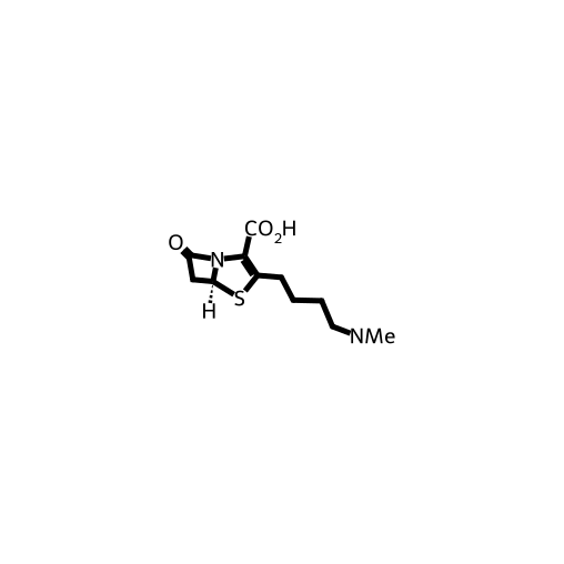 CNCCCCC1=C(C(=O)O)N2C(=O)C[C@@H]2S1